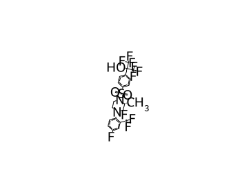 C[C@@H]1CN(c2ccc(F)cc2C(F)(F)F)CCN1S(=O)(=O)c1ccc(C(O)(C(F)(F)F)C(F)(F)F)cc1